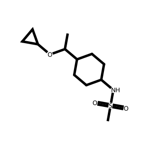 CC(OC1CC1)C1CCC(NS(C)(=O)=O)CC1